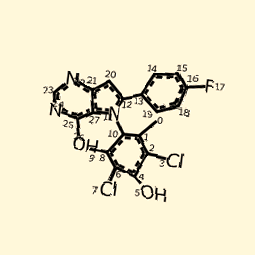 Cc1c(Cl)c(O)c(Cl)c(C)c1-n1c(-c2ccc(F)cc2)cc2ncnc(O)c21